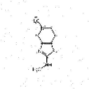 CNc1nc2c(s1)CCN(C)C2